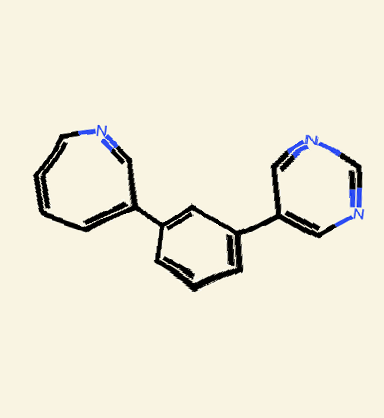 C1=CC=C(c2cccc(-c3cncnc3)c2)C=NC=1